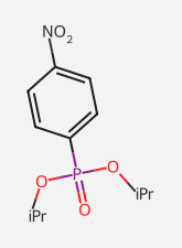 CC(C)OP(=O)(OC(C)C)c1ccc([N+](=O)[O-])cc1